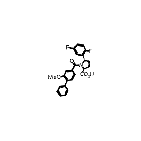 COc1cc(C(=O)N2[C@@H](c3cc(F)ccc3F)CC[C@H]2C(=O)O)ccc1-c1ccccc1